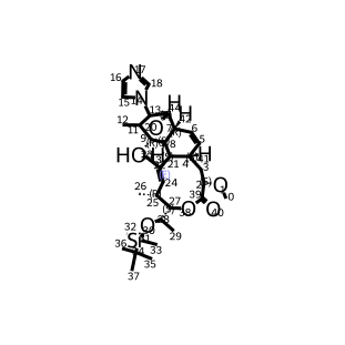 CO[C@H]1C[C@H]2C=C[C@@H]3[C@H]4[C@H](O)C(C)C(n5ccnc5)[C@@H]3O[C@]42/C(C)=C/[C@@H](C)[C@@H](C(C)O[Si](C)(C)C(C)(C)C)OC1=O